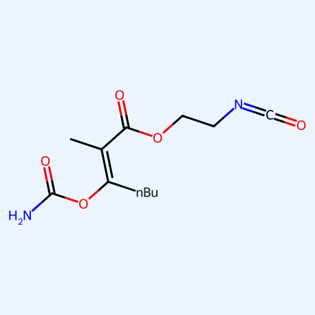 CCCCC(OC(N)=O)=C(C)C(=O)OCCN=C=O